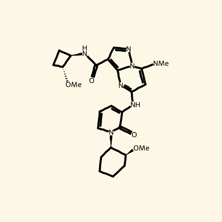 CNc1cc(Nc2cccn([C@@H]3CCCC[C@@H]3OC)c2=O)nc2c(C(=O)N[C@@H]3CC[C@H]3OC)cnn12